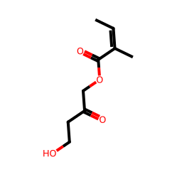 CC=C(C)C(=O)OCC(=O)CCO